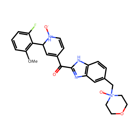 COc1cccc(F)c1C1C=C(C(=O)c2nc3cc(C[N+]4([O-])CCOCC4)ccc3[nH]2)C=C[NH+]1[O-]